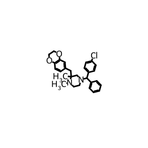 CN1CCN(C(c2ccccc2)c2ccc(Cl)cc2)CC1(C)Cc1ccc2c(c1)OCCO2